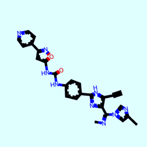 C#Cc1[nH]c(-c2ccc(NC(=O)Nc3cc(-c4ccncc4)no3)cc2)nc1/C(=N\C)n1cnc(C)c1